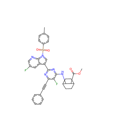 COC(=O)C1C2CCC(CC2)C1Nc1nc(-c2cn(S(=O)(=O)c3ccc(C)cc3)c3ncc(F)cc23)nc(C#Cc2ccccc2)c1F